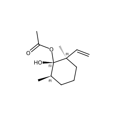 C=C[C@@]1(C)CCC[C@@H](C)[C@]1(O)OC(C)=O